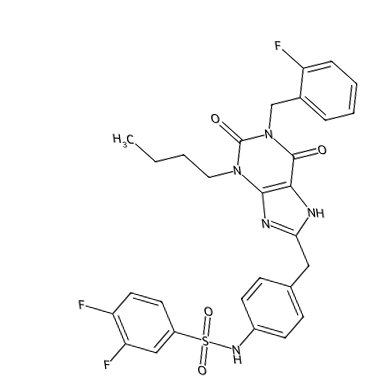 CCCCn1c(=O)n(Cc2ccccc2F)c(=O)c2[nH]c(Cc3ccc(NS(=O)(=O)c4ccc(F)c(F)c4)cc3)nc21